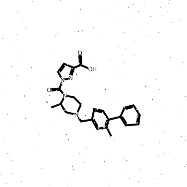 Cc1cc(CN2CCN(C(=O)n3ccc(C(=O)O)n3)C(C)C2)ccc1-c1ccccc1